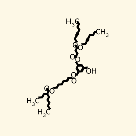 CCCCC#CCCOC(CCC(=O)OCc1cc(CO)cc(COC(=O)CCCCCCCOC(=O)C(CCCC)CCCCCC)c1)OCCC#CCCCC